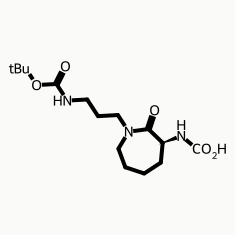 CC(C)(C)OC(=O)NCCCN1CCCC[C@H](NC(=O)O)C1=O